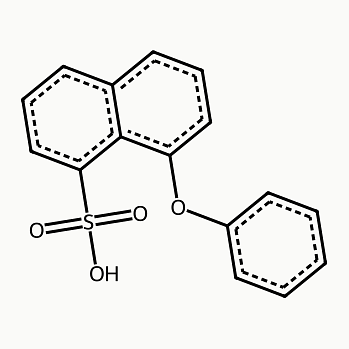 O=S(=O)(O)c1cccc2cccc(Oc3ccccc3)c12